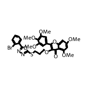 COc1cc(OC)c2c(=O)c(OCCCSc3nnc(-c4ccccc4Br)o3)c(-c3cc(OC)c(OC)c(OC)c3)oc2c1